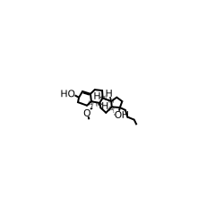 CCCCC1(O)CC[C@H]2[C@@H]3CCC4=CC(O)CC[C@]4(COC)[C@@H]3CC[C@@]21C